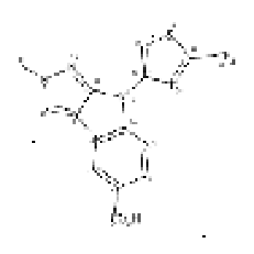 Cn1cc2c3cc(C(=O)O)ccc3n(-c3csc(C(F)(F)F)n3)c2n1